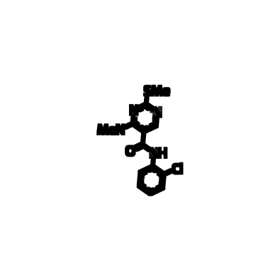 CNc1nc(SC)ncc1C(=O)Nc1ccccc1Cl